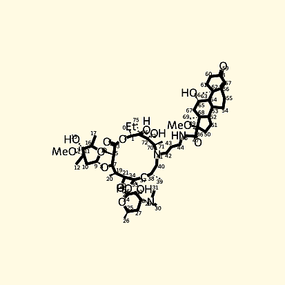 CC[C@H]1OC(=O)[C@H](C)C(O[C@@H]2C[C@](C)(OC)[C@H](O)C(C)O2)[C@H](C)C(O[C@@H]2O[C@H](C)C[C@@H](N(C)C)[C@H]2O)[C@](C)(O)C[C@@H](C)CN(CCCNC(=O)[C@@]2(OC)CCC3C4CCC5=CC(=O)CC[C@]5(C)C4[C@@H](O)C[C@@]32C)[C@H](C)[C@@H](O)[C@]1(C)O